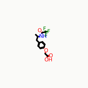 CC(Cc1ccc(OCC(=O)O)cc1)NC(=O)C(F)(F)F